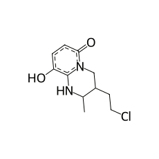 CC1Nc2c(O)ccc(=O)n2CC1CCCl